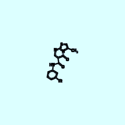 CCc1cccc(NC(=O)c2cnc3scc(C)n3c2=O)c1